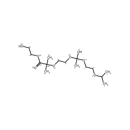 CC(C)OCCOC(C)(O)OCCOC(C)(C)C(=O)OCCO